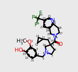 COc1cc(CN2CCC(CC3CC3)(C(=O)N3CCc4ncc(C(F)(F)F)cc4C3)C2)ccc1O